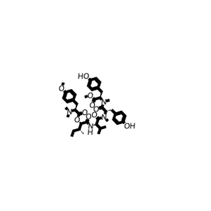 CC[C@@H](C)[C@@H](OC(=O)[C@H](Cc1ccc(OC)cc1)N(C)C)C(=O)N[C@H](C(=O)N(C)[C@@H](Cc1ccc(O)cc1)C(=O)N(C)[C@H](Cc1ccc(O)cc1)C(=O)OC)C(C)C